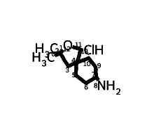 CC1(C)CC2(CCC(N)CC2)CO1.Cl